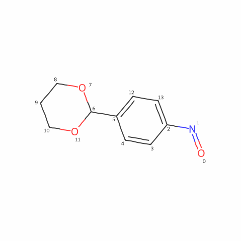 O=Nc1ccc(C2OCCCO2)cc1